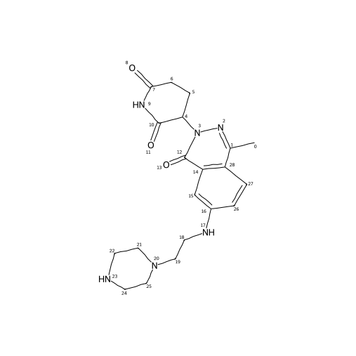 Cc1nn(C2CCC(=O)NC2=O)c(=O)c2cc(NCCN3CCNCC3)ccc12